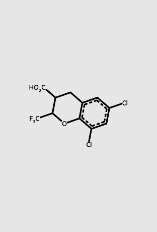 O=C(O)C1Cc2cc(Cl)cc(Cl)c2OC1C(F)(F)F